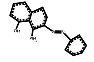 Nc1c(N=Nc2ccccc2)ccc2cccc(O)c12